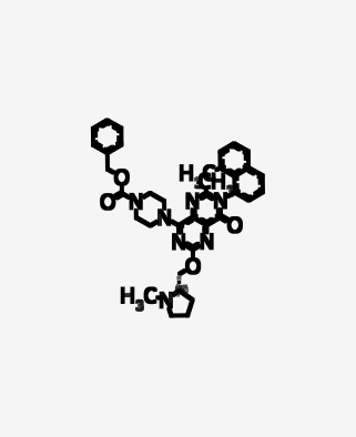 Cc1cccc2cccc(-n3c(C)nc4c(N5CCN(C(=O)OCc6ccccc6)CC5)nc(OC[C@@H]5CCCN5C)nc4c3=O)c12